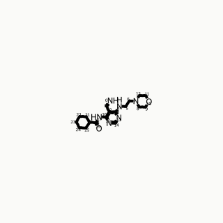 N=Cc1c(NCCN2CCOCC2)ncnc1NC(=O)C1CCCCC1